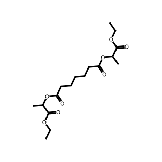 CCOC(=O)C(C)OC(=O)CCCCCC(=O)OC(C)C(=O)OCC